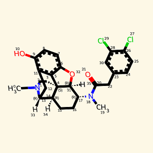 CN1CC[C@@]23c4c5ccc(O)c4C[C@@H]1[C@@H]2CC[C@@H](N(C)C(=O)Cc1ccc(Cl)c(Cl)c1)[C@@H]3O5